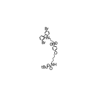 CC(C)(C)OC(=O)NCCCCCOc1ccc(S(=O)(=O)CCCNc2ccc(Br)cc2-c2cccc(Br)c2)cc1